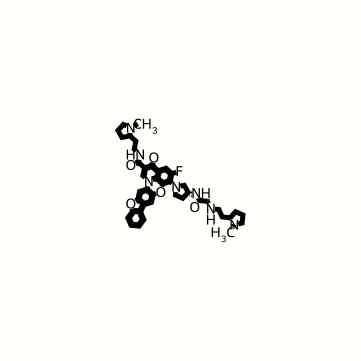 CN1CCCC1CCNCC(=O)N[C@@H]1CCN(c2c(F)cc3c(=O)c(C(=O)NCCC4CCCN4C)cn4c3c2Oc2cc3c(cc2-4)oc2ccccc23)C1